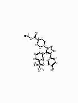 CC(C)(C)OC(=O)N1CCC(n2nnc(-c3ccc(F)cc3)c2-c2ccnc(S(C)(=O)=O)n2)CC1